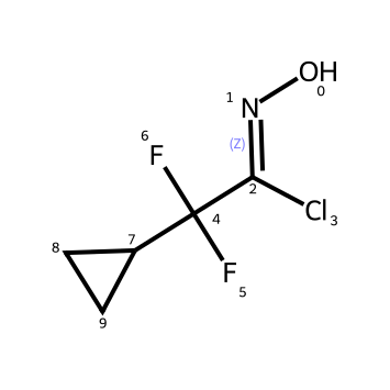 O/N=C(\Cl)C(F)(F)C1CC1